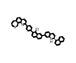 CCc1c(-c2ccc(-c3ccc4ccc5c(c4n3)CN=CC=C5)cc2)ccc2ccc(-c3ccc4c(c3)N[C@H](c3cccc5ccccc35)C=C4)cc12